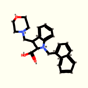 O=C(O)C1C(CN2CCOCC2)c2ccccc2N1Cc1cccc2ccccc12